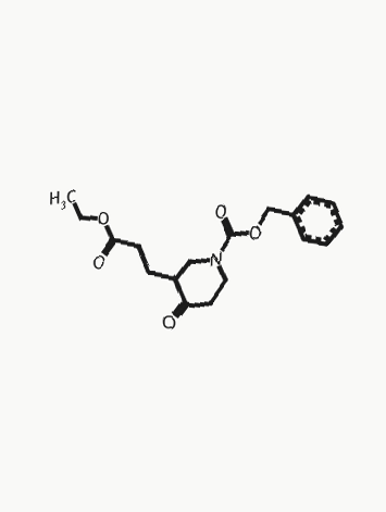 CCOC(=O)CCC1CN(C(=O)OCc2ccccc2)CCC1=O